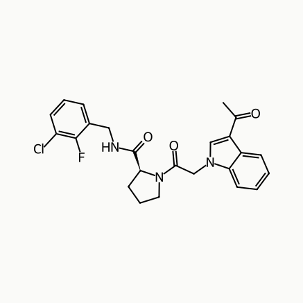 CC(=O)c1cn(CC(=O)N2CCC[C@H]2C(=O)NCc2cccc(Cl)c2F)c2ccccc12